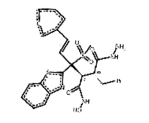 CC(C)C[C@@H](C(=O)NN)[C@@H](C(=O)NO)C(/C=C/c1ccccc1)(c1nc2ccccc2s1)S(C)(=O)=O